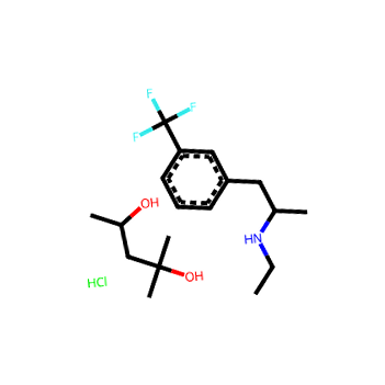 CC(O)CC(C)(C)O.CCNC(C)Cc1cccc(C(F)(F)F)c1.Cl